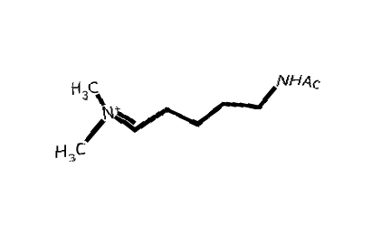 CC(=O)NCCCCC=[N+](C)C